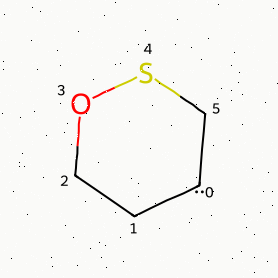 [C]1CCOSC1